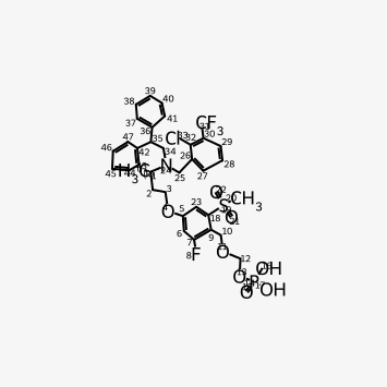 C[C@H](CCOc1cc(F)c(COCOP(=O)(O)O)c(S(C)(=O)=O)c1)N(Cc1cccc(C(F)(F)F)c1Cl)CC(c1ccccc1)c1ccccc1